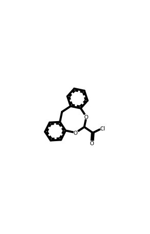 O=C(Cl)C1Oc2ccccc2Cc2ccccc2O1